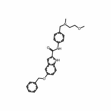 COCCN(C)Cc1ccc(NC(=O)c2cc3cc(OCc4ccccc4)ccc3[nH]2)cc1